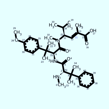 CN[C@H](C(=O)N[C@H](C(=O)N(C)[C@H](/C=C(\C)C(=O)O)C(C)C)C(C)(C)c1ccc(OC)cc1)C(C)(C)c1ccccc1